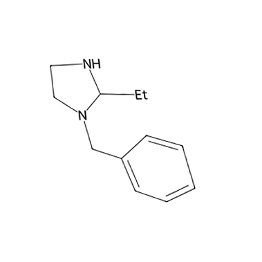 CCC1NCCN1Cc1ccccc1